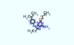 C=C(CC)c1ccc(Cn2c(CC)nc3c(N)nc(OCCCC)nc32)nc1